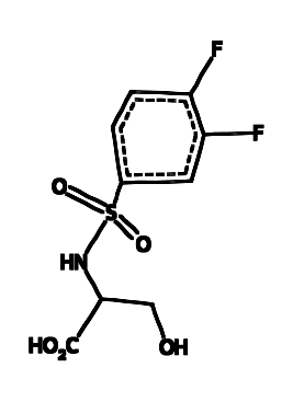 O=C(O)C(CO)NS(=O)(=O)c1ccc(F)c(F)c1